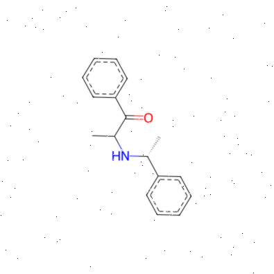 CC(N[C@H](C)c1ccccc1)C(=O)c1ccccc1